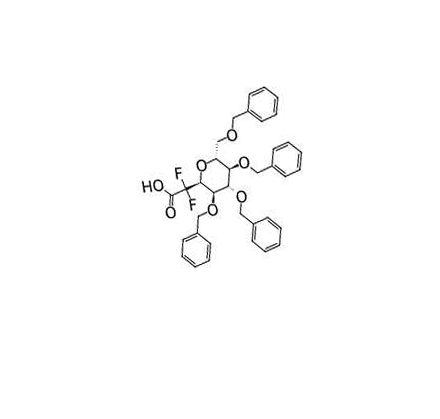 O=C(O)C(F)(F)[C@H]1O[C@H](COCc2ccccc2)[C@@H](OCc2ccccc2)[C@H](OCc2ccccc2)[C@H]1OCc1ccccc1